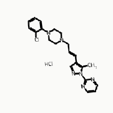 Cc1c(/C=C/CN2CCN(c3ccccc3Cl)CC2)cnn1-c1ncccn1.Cl